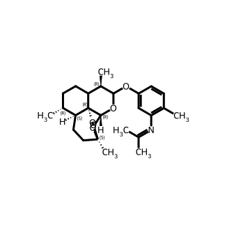 CC(C)=Nc1cc(OC2O[C@@H]3O[C@]4(C)CC[C@H]5[C@H](C)CCC([C@H]2C)[C@@]35OO4)ccc1C